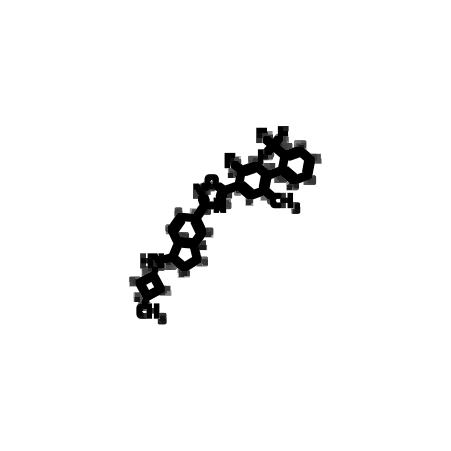 Cc1cc(-c2nc(-c3ccc4c(c3)CCC4N[C@H]3C[C@H](C)C3)no2)c(F)cc1-c1ccccc1C(F)(F)F